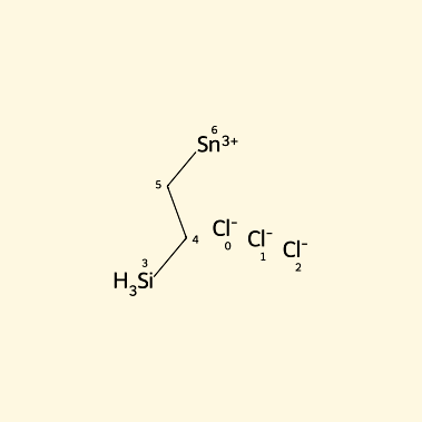 [Cl-].[Cl-].[Cl-].[SiH3]C[CH2][Sn+3]